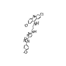 COc1ccc(-c2noc(-c3ccc(NCCCNc4c5ccc(Cl)cc5nc5ccc(OC)cc45)nn3)n2)cc1